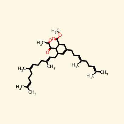 COC(=O)C1CC(CC/C=C(\C)CCC=C(C)C)=CC(C/C=C(\C)CC/C=C(/C)CCC=C(C)C)C1C(=O)C(C)=O